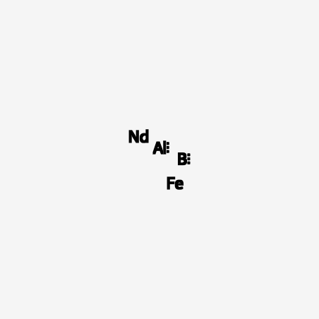 [Al].[B].[Fe].[Nd]